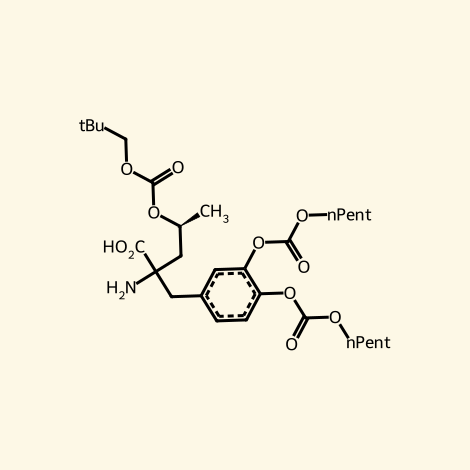 CCCCCOC(=O)Oc1ccc(CC(N)(C[C@H](C)OC(=O)OCC(C)(C)C)C(=O)O)cc1OC(=O)OCCCCC